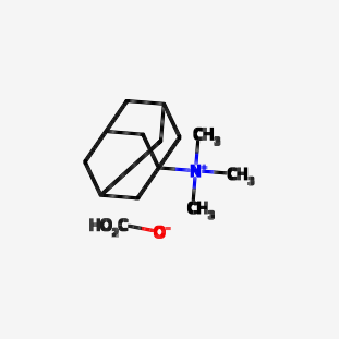 C[N+](C)(C)C12CC3CC(CC(C3)C1)C2.O=C([O-])O